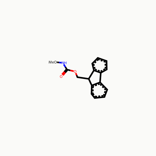 CONC(=O)OCC1c2ccccc2-c2ccccc21